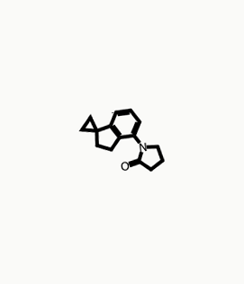 O=C1CCCN1c1cc[c]c2c1CCC21CC1